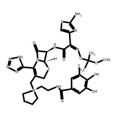 CC(C)(OC=O)O/N=C(\C(=O)N[C@@H]1C(=O)N2C(c3nnn[nH]3)=C(C[N+]3(CCNC(=O)c4cc(O)c(O)c(F)c4)CCCC3)CS[C@H]12)c1csc(N)n1